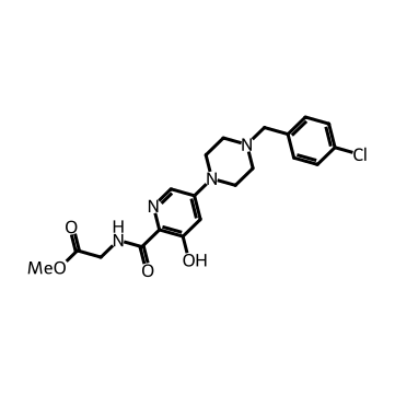 COC(=O)CNC(=O)c1ncc(N2CCN(Cc3ccc(Cl)cc3)CC2)cc1O